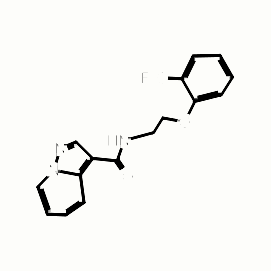 O=C(NCCOc1ccccc1C(F)(F)F)c1cnn2ccccc12